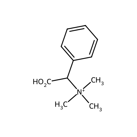 C[N+](C)(C)C(C(=O)O)c1ccccc1